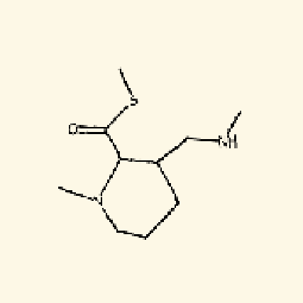 CNCC1CCCN(C)C1C(=O)SC